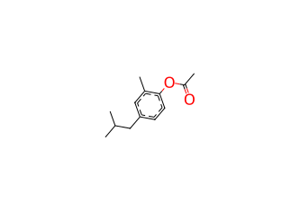 CC(=O)Oc1ccc(CC(C)C)cc1C